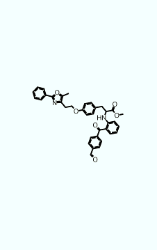 COC(=O)C(Cc1ccc(OCCc2nc(-c3ccccc3)oc2C)cc1)Nc1ccccc1C(=O)c1ccc(C=O)cc1